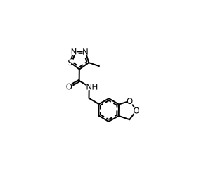 Cc1nnsc1C(=O)NCc1ccc2c(c1)OOC2